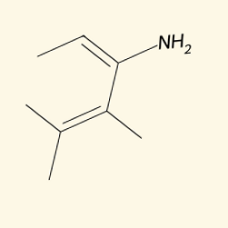 C/C=C(/N)C(C)=C(C)C